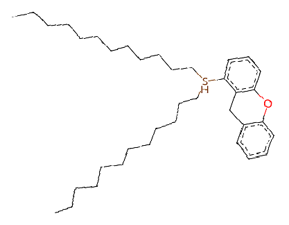 CCCCCCCCCCCC[SH](CCCCCCCCCCCC)c1cccc2c1Cc1ccccc1O2